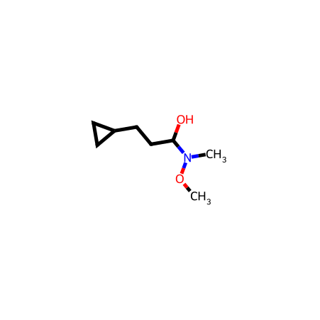 CON(C)C(O)CCC1CC1